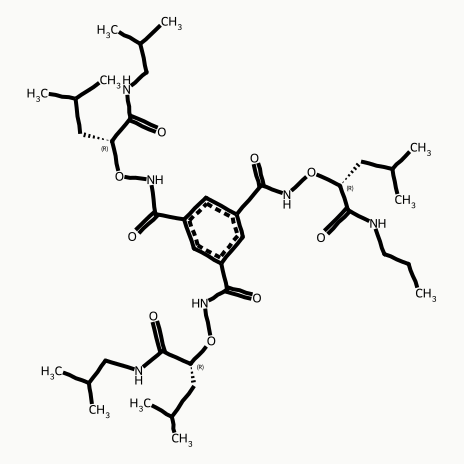 CCCNC(=O)[C@@H](CC(C)C)ONC(=O)c1cc(C(=O)NO[C@H](CC(C)C)C(=O)NCC(C)C)cc(C(=O)NO[C@H](CC(C)C)C(=O)NCC(C)C)c1